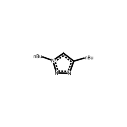 CCCCc1[c]n(CCCC)nn1